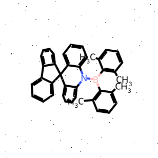 Cc1cccc(C)c1B(c1c(C)cccc1C)N1c2ccccc2C2(c3ccccc3-c3ccccc32)c2ccccc21